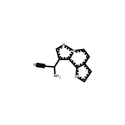 N#CC(N)c1cnn2ccc3ccoc3c12